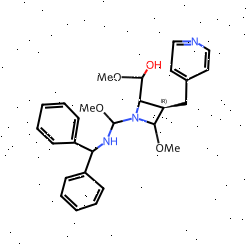 COC(O)C1[C@@H](Cc2ccncc2)C(OC)N1C(NC(c1ccccc1)c1ccccc1)OC